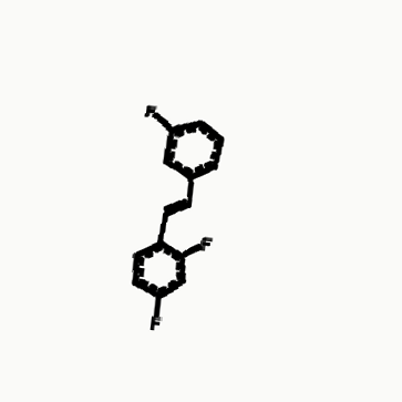 Fc1cccc(/C=C/c2ccc(F)cc2F)c1